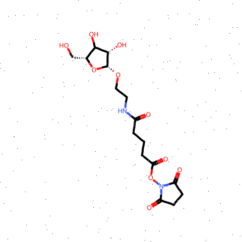 O=C(CCCC(=O)ON1C(=O)CCC1=O)NCCO[C@@H]1O[C@H](CO)C(O)[C@@H]1O